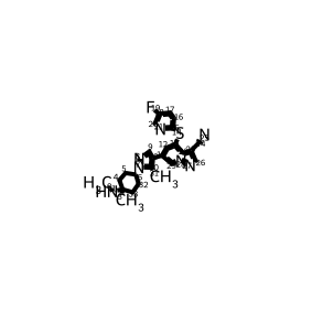 CNC1(C)CCC(n2ncc(-c3cc(Sc4ccc(F)cn4)c4c(C#N)cnn4c3)c2C)CC1